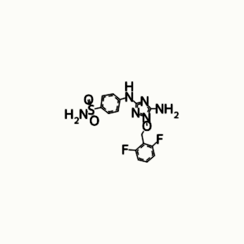 Nc1nc(Nc2ccc(S(N)(=O)=O)cc2)nn1OCc1c(F)cccc1F